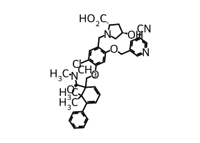 CN(C)C(=O)C1(COc2cc(OCc3cncc(C#N)c3)c(CN3C[C@H](O)C[C@H]3C(=O)O)cc2Cl)C=CC=C(c2ccccc2)C1(C)C